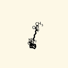 COC(=O)C(F)CCCCCCN(C(N)=O)C12CC3CC(CC(C3)C1)C2